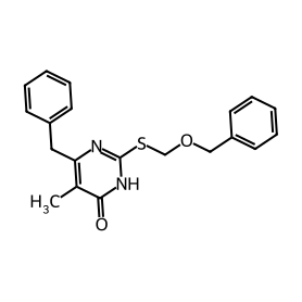 Cc1c(Cc2ccccc2)nc(SCOCc2ccccc2)[nH]c1=O